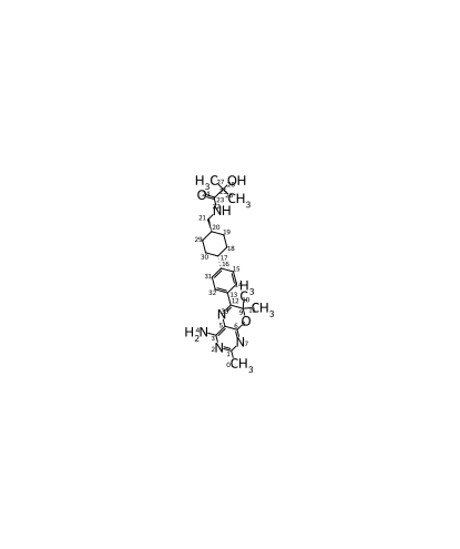 Cc1nc(N)c2c(n1)OC(C)(C)C(c1ccc([C@H]3CC[C@H](CNC(=O)C(C)(C)O)CC3)cc1)=N2